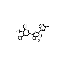 Cc1csc(C(=O)C=C(c2cc(Cl)c(Cl)c(Cl)c2)C(F)(F)F)c1